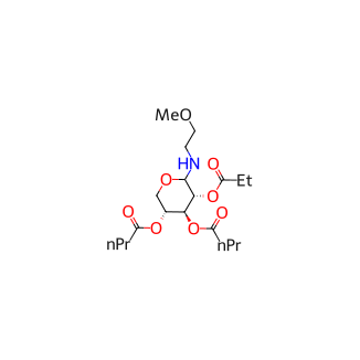 CCCC(=O)O[C@H]1[C@H](OC(=O)CCC)COC(NCCOC)[C@@H]1OC(=O)CC